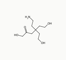 NCCC(CCO)(CCO)CC(=O)CO